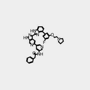 O=C(Cc1ccccc1)Nc1cncc(-c2cc3c(-c4nc5c(-c6cc(F)cc(OCCN7CCCC7)c6)cccc5[nH]4)n[nH]c3cn2)c1